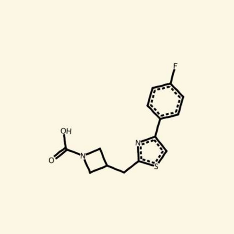 O=C(O)N1CC(Cc2nc(-c3ccc(F)cc3)cs2)C1